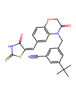 CC(C)(C)c1cc(C#N)cc(CN2C(=O)COc3ccc(C=C4SC(=S)NC4=O)cc32)c1